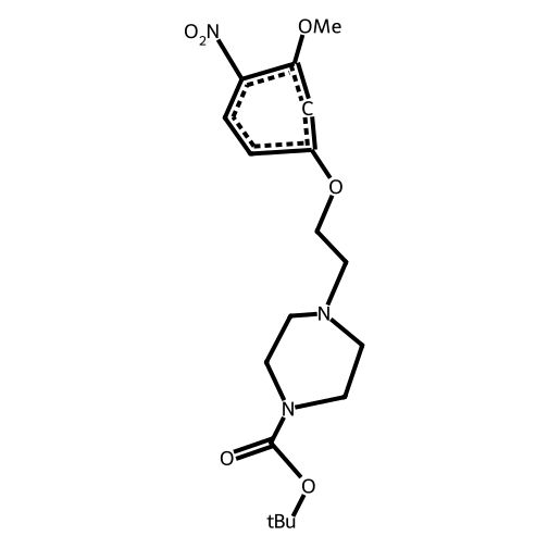 COc1cc(OCCN2CCN(C(=O)OC(C)(C)C)CC2)ccc1[N+](=O)[O-]